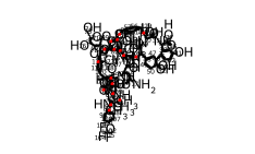 CN[C@H](CC(C)C)C(=O)N[C@H]1C(=O)NC(CC(N)=O)C(=O)NC2C(=O)N[C@H]3C(=O)N[C@H](C(=O)N[C@@H](C(=O)O)c4cc(O)cc(O)c4-c4cc3ccc4O)[C@H](O)c3ccc(c(Cl)c3)Oc3cc2cc(c3O[C@@H]2O[C@H](CO)[C@@H](O)[C@H](O)[C@H]2O[C@H]2C[C@](C)(NCCOCCN3CCN(C(=O)Nc4ccc(OC(F)(F)F)cc4)CC3)[C@H](O)[C@H](C)O2)Oc2ccc(cc2Cl)[C@H]1O